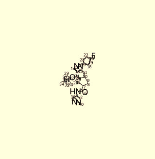 Cn1cc(NC(=O)C2CCC3=Cc4c(cnn4-c4ccc(F)cc4)C[C@]3(CO[Si](C)(C)C(C)(C)C)C2)cn1